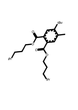 Cc1cc(C(=O)OCCCC(C)C)c(C(=O)OCCCC(C)C)cc1C(C)(C)C